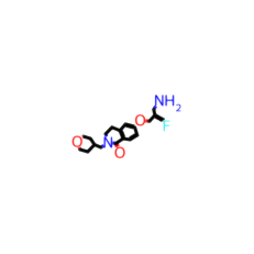 NC/C(=C/F)COc1ccc2c(c1)CCN(CC1CCOCC1)C2=O